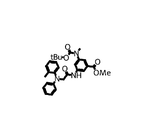 COC(=O)c1cc(NC(=O)CN(c2ccccc2)c2ccccc2C)cc(N(C)C(=O)OC(C)(C)C)c1